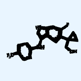 OCC1(c2cc3c(Nc4ccc(C(F)(F)F)cn4)c[nH]c3cc2F)CC1